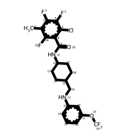 Cc1c(F)c(F)c(Cl)c(C(=O)NC2CCC(CNc3cccc(OC(F)(F)F)c3)CC2)c1F